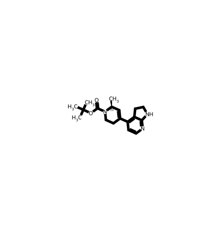 C[C@H]1C=C(c2ccnc3c2CCN3)CCN1C(=O)OC(C)(C)C